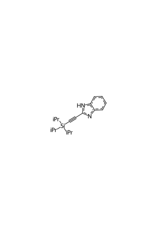 CC(C)[Si](C#Cc1nc2ccccc2[nH]1)(C(C)C)C(C)C